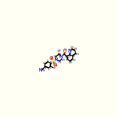 Cc1cc(C#N)ccc1S(=O)(=O)N1CCN(C(=O)c2cccc3cccnc23)[C@@H](C)C1